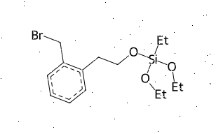 CCO[Si](CC)(OCC)OCCc1ccccc1CBr